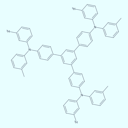 [3H]c1cccc(N(c2ccc(-c3cc(-c4ccc(N(c5cccc([3H])c5)c5cccc(C)c5)cc4)cc(-c4ccc(N(c5cccc([3H])c5)c5cccc(C)c5)cc4)c3)cc2)c2cccc(C)c2)c1